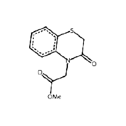 COC(=O)CN1C(=O)CSc2ccccc21